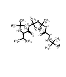 CC(C)C(NC(C)(C)C)C(=O)OC(C)(C)CC(C)(C)OC(=O)CNC(C)(C)O